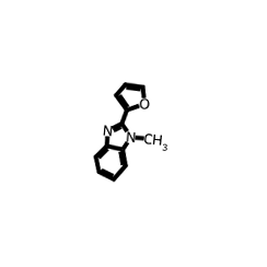 Cn1c(-c2ccco2)nc2ccccc21